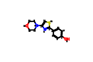 Oc1ccc(-c2nc(N3CCOCC3)cs2)cc1